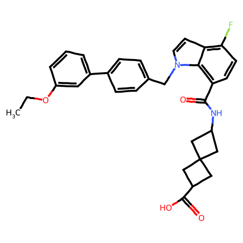 CCOc1cccc(-c2ccc(Cn3ccc4c(F)ccc(C(=O)NC5CC6(C5)CC(C(=O)O)C6)c43)cc2)c1